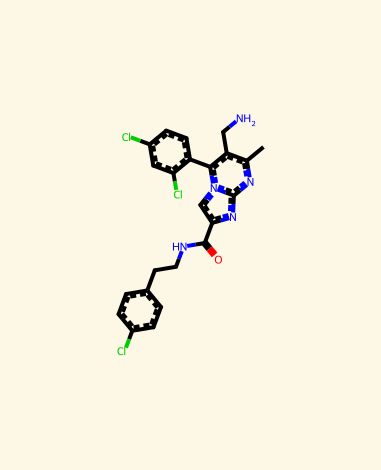 Cc1nc2nc(C(=O)NCCc3ccc(Cl)cc3)cn2c(-c2ccc(Cl)cc2Cl)c1CN